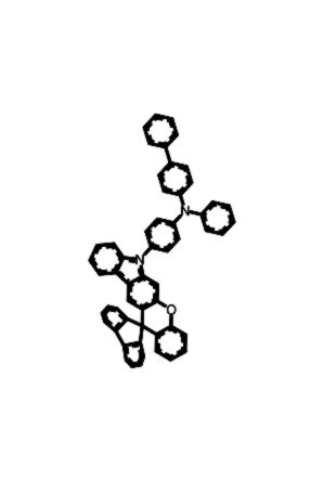 c1ccc(-c2ccc(N(c3ccccc3)c3ccc(-n4c5ccccc5c5cc6c(cc54)Oc4ccccc4C64c5ccccc5-c5ccccc54)cc3)cc2)cc1